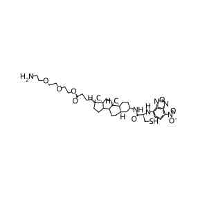 C[C@]12CCC3C(CC[C@@H]4C[C@H](NC(=O)[C@H](CS)Nc5ccc([N+](=O)[O-])c6nonc56)CC[C@]34C)C1CCC2CCCC(=O)OCCOCCOCCN